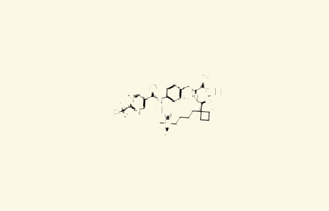 CS(=O)(=O)CCCCC1(C(=S)N[C@@H](Cc2ccc(NC(=O)c3cnc(C(F)(F)F)nc3)cc2)C(=O)O)CCC1